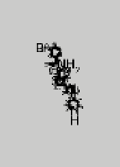 CC(Cc1cccc(Br)c1)Oc1c(N)ncc2c(-c3cnn(C4CCNCC4)c3)coc12